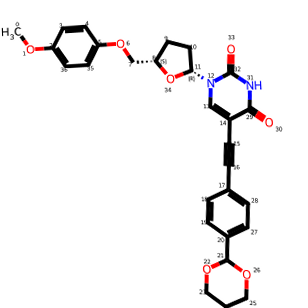 COc1ccc(OC[C@@H]2CC[C@H](n3cc(C#Cc4ccc(C5OCCCO5)cc4)c(=O)[nH]c3=O)O2)cc1